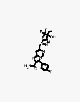 CCC(O)(c1cn(Cc2cc3nc(C(N)=O)c(-c4ccc(F)cc4)n3cn2)nn1)C(F)(F)F